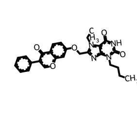 CCCCn1c(=O)[nH]c(=O)c2c1nc(COc1ccc3c(=O)c(-c4ccccc4)coc3c1)n2CC